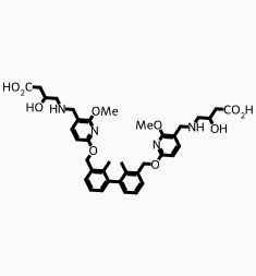 COc1nc(OCc2cccc(-c3cccc(COc4ccc(CNCC(O)CC(=O)O)c(OC)n4)c3C)c2C)ccc1CNCC(O)CC(=O)O